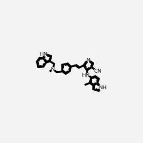 Cc1c(Nc2c(C#N)cncc2C=Cc2ccc(CN(C)Cc3c[nH]c4ccccc34)cc2)ccc2[nH]ccc12